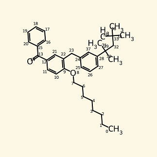 CCCCCCCCOc1ccc(C(=O)c2ccccc2)cc1Cc1cccc(C(C)(C)CC(C)(C)C)c1